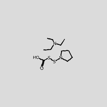 CCN(CC)CC.O=C(O)SSN1CCCC1